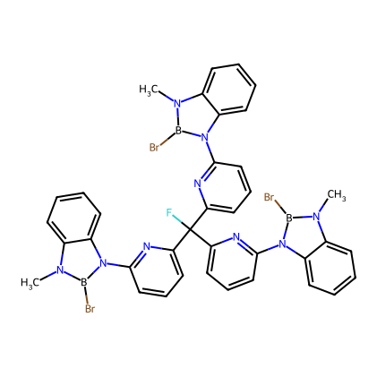 CN1B(Br)N(c2cccc(C(F)(c3cccc(N4B(Br)N(C)c5ccccc54)n3)c3cccc(N4B(Br)N(C)c5ccccc54)n3)n2)c2ccccc21